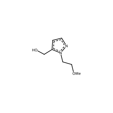 COCCn1nccc1CO